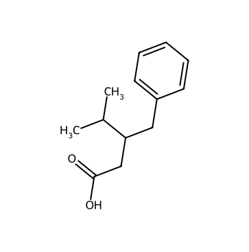 CC(C)C(CC(=O)O)Cc1ccccc1